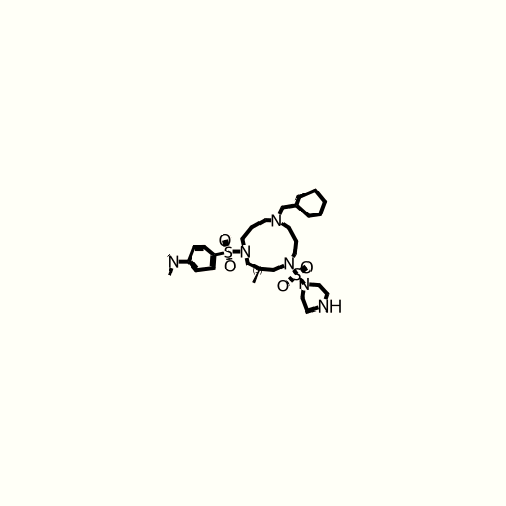 C[C@H]1CN(S(=O)(=O)c2ccc(N(C)C)cc2)CCCN(CC2CCCCC2)CCCN(S(=O)(=O)N2CCNCC2)C1